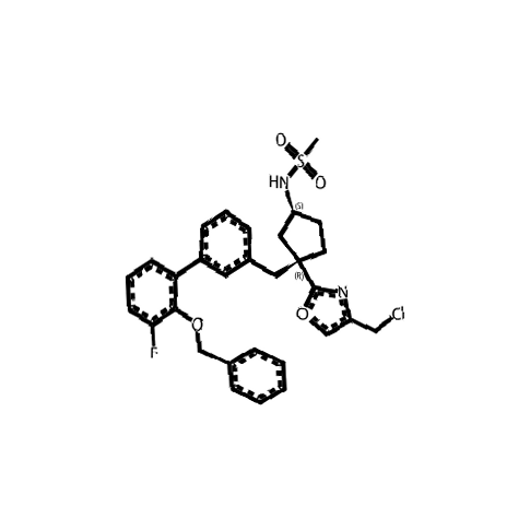 CS(=O)(=O)N[C@H]1CC[C@](Cc2cccc(-c3cccc(F)c3OCc3ccccc3)c2)(c2nc(CCl)co2)C1